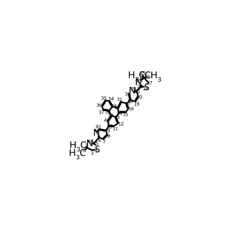 CC1(C)CSC(c2ccc(-c3ccc4c5ccc(-c6ccc(C7=NC(C)(C)CS7)nc6)cc5c5ccccc5c4c3)cn2)=N1